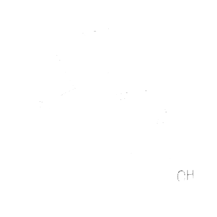 C1=CC2C3C=CC(C3)C2C1.Oc1cccc2ccccc12